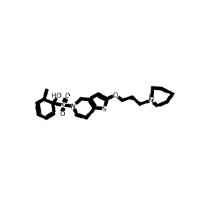 CC1C=CC=CC1(O)S(=O)(=O)N1CCc2sc(OCCCN3CCCCC3)cc2C1